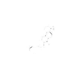 CC(C)=CCC[C@@H](C)[C@H]1CC[C@H]2[C@@H]3CC=C4C5(CC5)[C@H](O)CC[C@]4(C)[C@H]3C[C@@H](O)[C@]12C